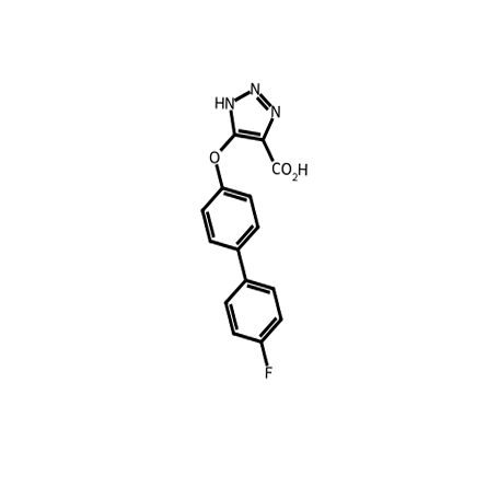 O=C(O)c1nn[nH]c1Oc1ccc(-c2ccc(F)cc2)cc1